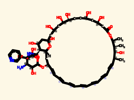 C[C@@H]1[C@H](O)[C@@H](C)/C=C/C=C/C=C/C=C/C=C/C=C/C=C/[C@H](OC2O[C@H](O)[C@@H](O)[C@H](N)[C@@H]2O)C[C@@H]2O[C@](O)(C[C@@H](O)C[C@@H](O)[C@H](O)CC[C@@H](O)C[C@@H](O)CC(=O)O[C@H]1C)C[C@H](O)[C@H]2C(=O)NCc1cccnc1